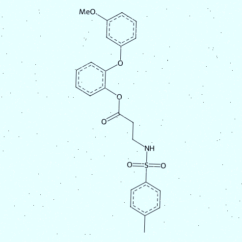 COc1cccc(Oc2ccccc2OC(=O)CCNS(=O)(=O)c2ccc(C)cc2)c1